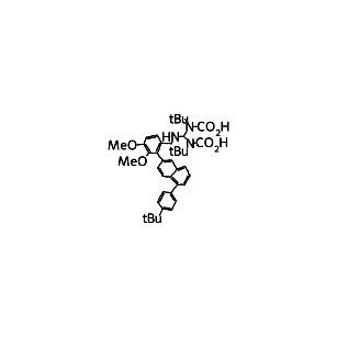 COc1ccc(CNC(N(C(=O)O)C(C)(C)C)N(C(=O)O)C(C)(C)C)c(-c2ccc3c(-c4ccc(C(C)(C)C)cc4)cccc3c2)c1OC